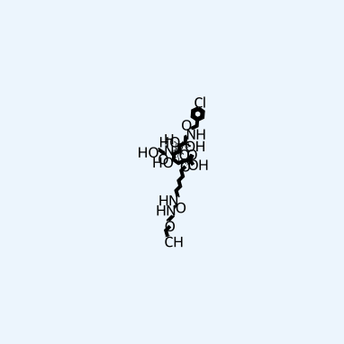 C#CCOCCNC(=O)NCCCCCCO[C@]1(C(=O)O)C[C@H](O)[C@@H](NC(=O)CO)[C@H]([C@H](O)[C@H](O)CNC(=O)Cc2ccc(Cl)cc2)O1